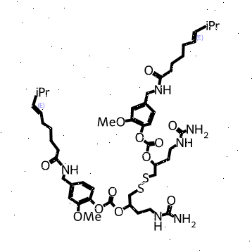 COc1cc(CNC(=O)CCCC/C=C/C(C)C)ccc1OC(=O)OC(CCNC(N)=O)CSSCC(CCNC(N)=O)OC(=O)Oc1ccc(CNC(=O)CCCC/C=C/C(C)C)cc1OC